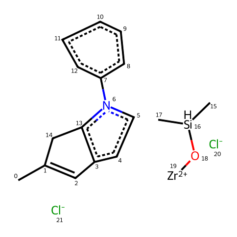 CC1=Cc2ccn(-c3ccccc3)c2C1.C[SiH](C)[O][Zr+2].[Cl-].[Cl-]